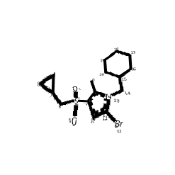 Cc1c(S(=O)(=O)CC2CC2)cc(Br)n1CC1CCCCC1